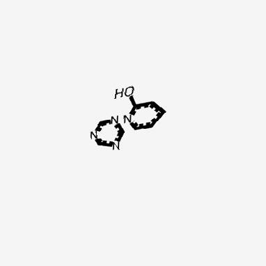 Oc1ccccn1.c1ncncn1